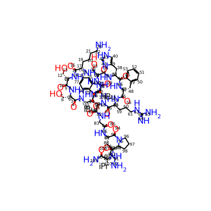 CC[C@H](C)[C@H](NC(=O)[C@H](CO)NC(=O)[C@H](CO)NC(=O)[C@@H](N)CCCCN)C(=O)N[C@H](C(=O)N[C@@H](CO)C(=O)N[C@@H](Cc1c[nH]cn1)C(=O)N[C@H](Cc1ccccc1)C(=O)N[C@@H](CCCNC(=N)N)C(=O)N[C@@H](Cc1c[nH]c2ccccc12)C(=O)NCC(=O)N[C@@H](CCCCN)C(=O)N1CCC[C@H]1C(=O)N[C@H](C(N)=O)C(C)C)[C@@H](C)CC